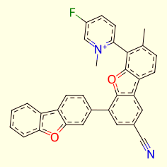 Cc1ccc2c(oc3c(-c4ccc5c(c4)oc4ccccc45)cc(C#N)cc32)c1-c1ccc(F)c[n+]1C